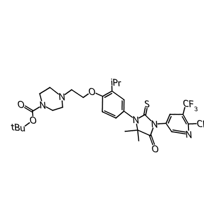 CC(C)c1cc(N2C(=S)N(c3cnc(C#N)c(C(F)(F)F)c3)C(=O)C2(C)C)ccc1OCCN1CCN(C(=O)OC(C)(C)C)CC1